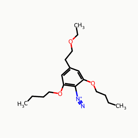 CCCCOc1cc(CCOCC)cc(OCCCC)c1[N+]#N